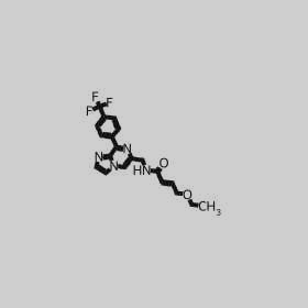 CCOCC=CC(=O)NCc1cn2ccnc2c(-c2ccc(C(F)(F)F)cc2)n1